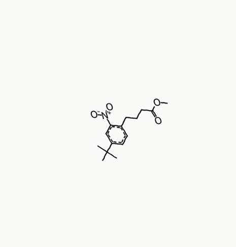 COC(=O)CCCc1ccc(C(C)(C)C)cc1[N+](=O)[O-]